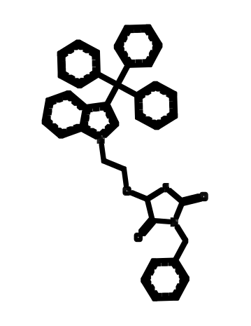 O=C1SC(OCCn2cc(C(c3ccccc3)(c3ccccc3)c3ccccc3)c3ccccc32)C(=O)N1Cc1ccccc1